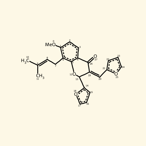 COc1ccc2c(c1CC=C(C)C)OC(c1ccco1)/C(=C/c1ccco1)C2=O